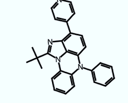 CC(C)(C)c1nc2c(-c3ccncc3)ccc3c2n1-c1ccccc1N3c1ccccc1